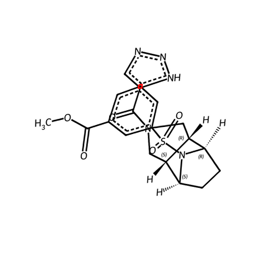 COC(=O)c1cccc(S(=O)(=O)N2[C@@H]3CC[C@H]2[C@@H]2CN(C(=O)c4cnn[nH]4)C[C@@H]23)c1